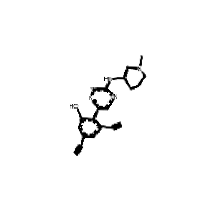 C#Cc1cc(O)c(-c2cnc(NC3CCCN(C)C3)nn2)c(C#C)c1